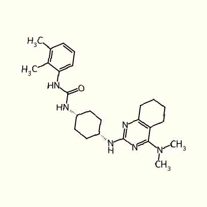 Cc1cccc(NC(=O)N[C@H]2CC[C@@H](Nc3nc4c(c(N(C)C)n3)CCCC4)CC2)c1C